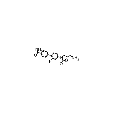 NCC1CN(c2ccc(-c3ccc(C(N)=O)cc3)c(F)c2)C(=O)O1